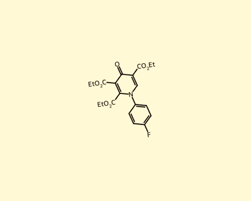 CCOC(=O)c1cn(-c2ccc(F)cc2)c(C(=O)OCC)c(C(=O)OCC)c1=O